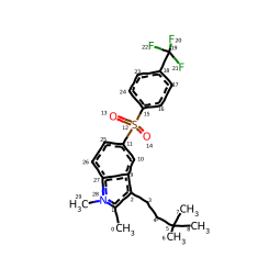 Cc1c(C[CH]C(C)(C)C)c2cc(S(=O)(=O)c3ccc(C(F)(F)F)cc3)ccc2n1C